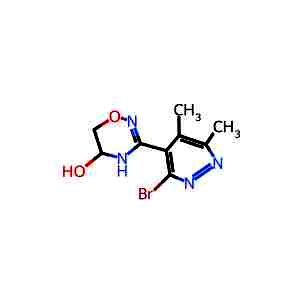 Cc1nnc(Br)c(C2=NOCC(O)N2)c1C